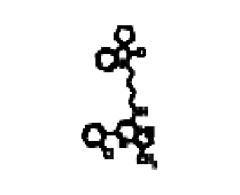 Cc1cnn2c(NCCCCNC(=O)C3(c4ccccc4)CCCC3)cc(-c3ccccc3Cl)nc12